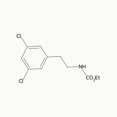 CCOC(=O)NCCc1cc(Cl)cc(Cl)c1